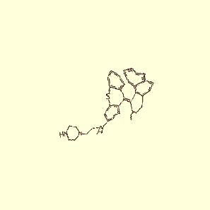 CC1Cc2ccc3ccccc3c2C1=C1c2ccccc2Sc2cc(NCCN3CCNCC3)ccc21